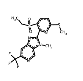 CCS(=O)(=O)c1ccc(SC)nc1-c1nc2cc(C(F)(F)F)ncc2n1C